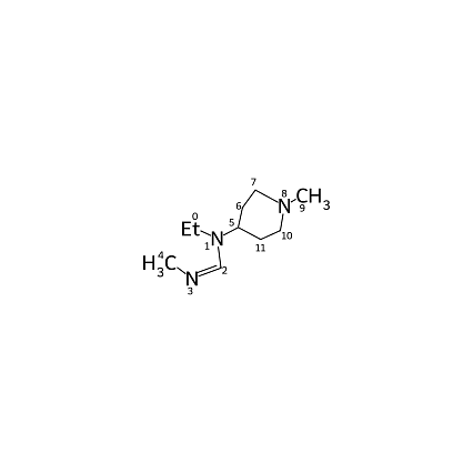 CCN(/C=N\C)C1CCN(C)CC1